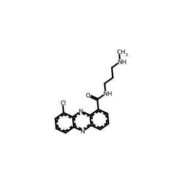 CNCCCNC(=O)c1cccc2nc3cccc(Cl)c3nc12